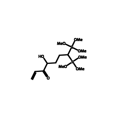 C=CC(=O)C(O)CC[C]([Si](OC)(OC)OC)[Si](OC)(OC)OC